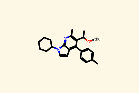 Cc1ccc(-c2c(C(C)OC(C)(C)C)c(C)nc3c2ccn3C2CCCCC2)cc1